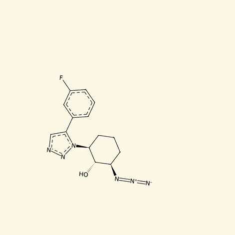 [N-]=[N+]=N[C@@H]1CCC[C@H](n2nncc2-c2cccc(F)c2)[C@H]1O